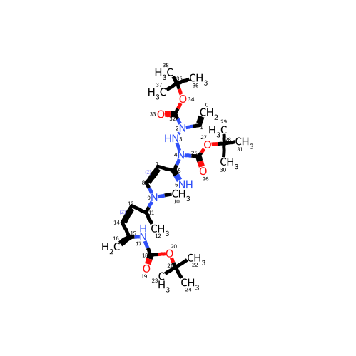 C=CN(NN(C(=N)/C=C\N(C)C(C)/C=C\C(=C)NC(=O)OC(C)(C)C)C(=O)OC(C)(C)C)C(=O)OC(C)(C)C